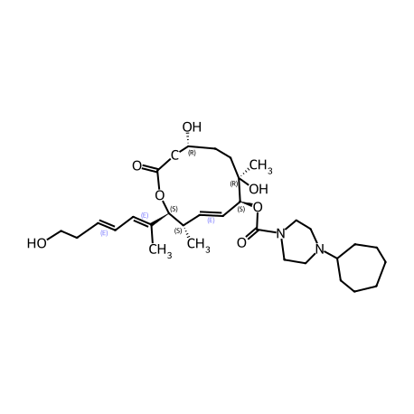 C/C(=C\C=C\CCO)[C@H]1OC(=O)C[C@H](O)CC[C@@](C)(O)[C@@H](OC(=O)N2CCN(C3CCCCCC3)CC2)/C=C/[C@@H]1C